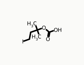 CC(C)(CCI)OC(=O)O